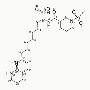 CS(=O)(=O)N1CCCC(C(=O)NC(CCCCCCCc2ccc3c(n2)NCCC3)C(=O)O)C1